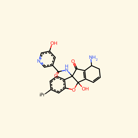 CC(C)c1ccc2c(c1)OC1(O)C3=C(C(=O)C21NC(=O)c1cncc(O)c1)C(N)CC=C3